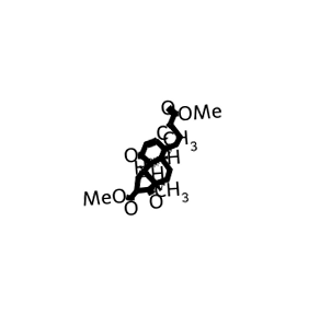 COC(=O)C1CC[C@@]2(C)C(=CC(=O)[C@@H]3[C@H]2CC[C@]2(C)C(=O)C(C(=O)OC)C[C@@H]32)C1